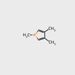 Cc1cp(C)cc1C